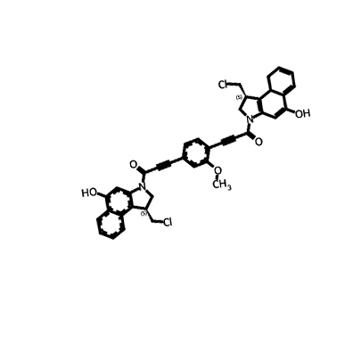 COc1cc(C#CC(=O)N2C[C@@H](CCl)c3c2cc(O)c2ccccc32)ccc1C#CC(=O)N1C[C@@H](CCl)C2=C1C=C(O)C1=CC=CCC12